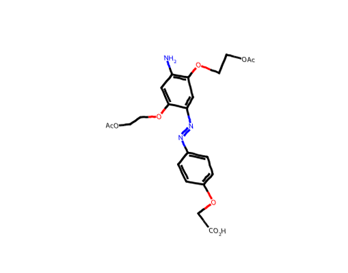 CC(=O)OCCOc1cc(N=Nc2ccc(OCC(=O)O)cc2)c(OCCOC(C)=O)cc1N